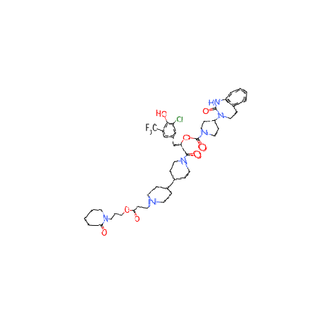 O=C(CCN1CCC(C2CCN(C(=O)[C@@H](Cc3cc(Cl)c(O)c(C(F)(F)F)c3)OC(=O)N3CCC(N4CCc5ccccc5NC4=O)CC3)CC2)CC1)OCCCN1CCCCC1=O